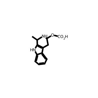 CC1NC(OC(=O)O)Cc2c1[nH]c1ccccc21